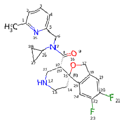 Cc1cccc(CN(C(=O)[C@H]2CNCC[C@@]23OCc2cc(F)c(F)cc23)C2CC2)n1